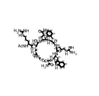 CC(=O)N[C@@H](CCCNC(=N)N)C(O)N[C@H]1CCC(=O)NCCC[C@@H](C(N)=O)NC(=O)[C@H](Cc2c[nH]c3ccccc23)NC(=O)[C@H](CCCNC(=N)N)NC(=O)[C@@H](Cc2ccccc2)NC(O)[C@H](CCC(N)=O)NC1=O